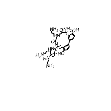 NCCC[C@@H]1NC(=O)[C@@H](N)Cc2cc(ccc2O)-c2ccc(O)c(c2)C[C@@H](C(=O)N[C@@H](CCN)C(=O)NCCN)NC1=O